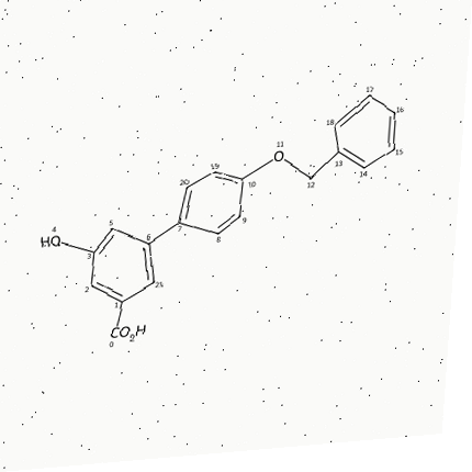 O=C(O)c1cc(O)cc(-c2ccc(OCc3ccccc3)cc2)c1